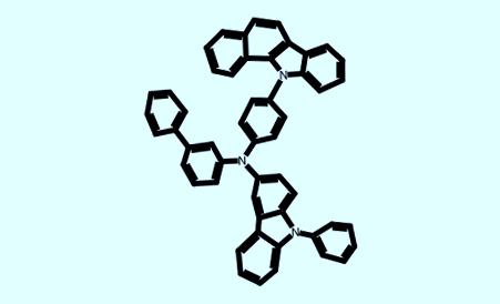 c1ccc(-c2cccc(N(c3ccc(-n4c5ccccc5c5ccc6ccccc6c54)cc3)c3ccc4c(c3)c3ccccc3n4-c3ccccc3)c2)cc1